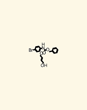 O=C(Nc1ccc(Br)cc1OC/C=C/CO)OCc1ccccc1